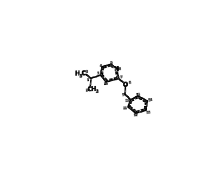 CC(C)c1ccnc(OCc2ccccc2)c1